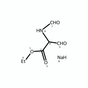 CCOC(=O)C(C=O)NC=O.[NaH]